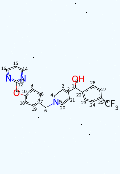 OC(C1=CCN(Cc2ccc(Oc3ncccn3)cc2)C=C1)c1ccc(C(F)(F)F)cc1